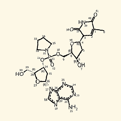 CC1=CC([C@H]2C[C@@H](O)[C@@H](COP(=O)(O[C@@H]3C[C@H](n4cnc5c(N)ncnc54)O[C@@H]3CO)N3CCCC3)O2)C(=O)NC1=O